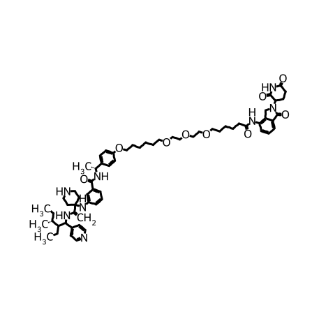 C=C(NC(c1ccncc1)C(CC)[C@H](C)CC)C1(Nc2cccc(C(=O)N[C@H](C)c3ccc(OCCCCCCOCCOCCOCCCCCC(=O)Nc4cccc5c4CN(C4CCC(=O)NC4=O)C5=O)cc3)c2)CCNCC1